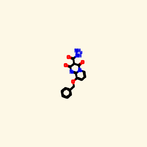 NNC(=O)C1C(=O)N=C2C(OCc3ccccc3)=CC=CN2C1=O